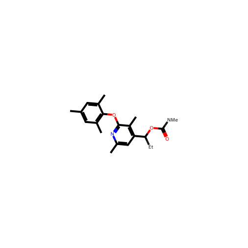 CCC(OC(=O)NC)c1cc(C)nc(Oc2c(C)cc(C)cc2C)c1C